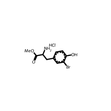 COC(=O)C(N)Cc1ccc(O)c(Br)c1.Cl